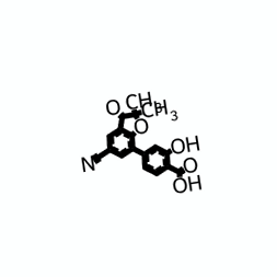 CC1(C)Oc2c(cc(C#N)cc2-c2ccc(C(=O)O)c(O)c2)C1=O